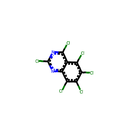 Clc1nc(Cl)c2c(Cl)c(Cl)c(Cl)c(Cl)c2n1